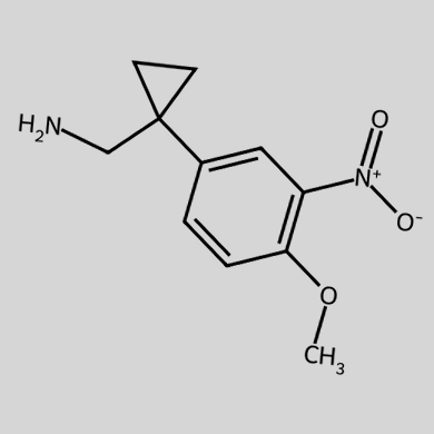 COc1ccc(C2(CN)CC2)cc1[N+](=O)[O-]